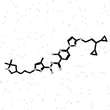 Cc1cn(CCCC2CNC(C)(C)C2)nc1[S+]([O-])NC(=O)c1ccc(-n2ccc(OCCC(C3CC3)C3CC3)n2)nc1Cl